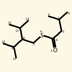 CC(C)CC(=O)SCC(C(C)C)C(C)C